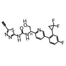 C#Cc1nnc(NC(=O)N[C@@H](CO)c2ccc(-c3ccc(F)cc3C3CC3(F)F)cn2)s1